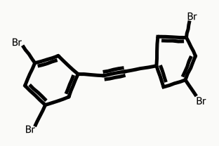 Brc1cc(Br)cc(C#Cc2cc(Br)cc(Br)c2)c1